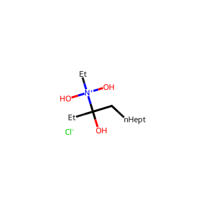 CCCCCCCCC(O)(CC)[N+](O)(O)CC.[Cl-]